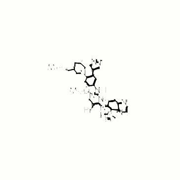 COCC1CCCN(c2cc(OC)c(Nc3ncc(Br)c(Nc4ccc5nccnc5c4P(C)(C)=O)n3)cc2-c2cnn(C)c2)C1